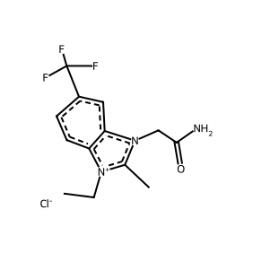 CC[n+]1c(C)n(CC(N)=O)c2cc(C(F)(F)F)ccc21.[Cl-]